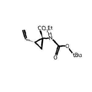 C=C[C@H]1C[C@]1(NC(=O)OC(C)(C)C)C(=O)OCC